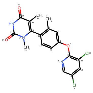 Cc1cc(Oc2ncc(Cl)cc2Cl)ccc1-c1c(C)c(=O)[nH]c(=O)n1C